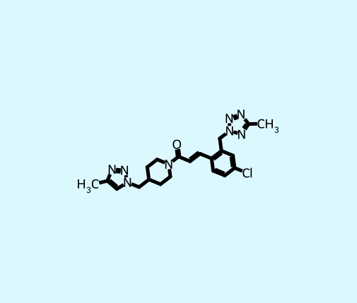 Cc1cn(CC2CCN(C(=O)/C=C/c3ccc(Cl)cc3Cn3nnc(C)n3)CC2)nn1